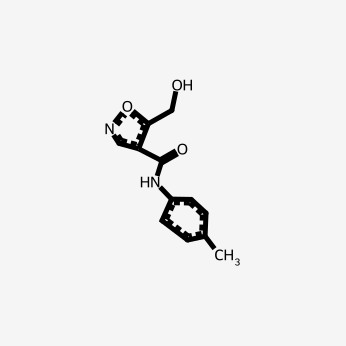 Cc1ccc(NC(=O)c2cnoc2CO)cc1